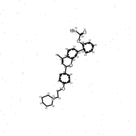 CC1=CC(c2ccc(OCCN3CCCCC3)cc2)Oc2cc(-c3ccccc3OC(=O)C(C)(C)C)ccc21